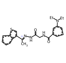 CCN(CC)c1cccc(C(=O)NCC(=O)N/N=C(\C)c2csc3ccccc23)c1